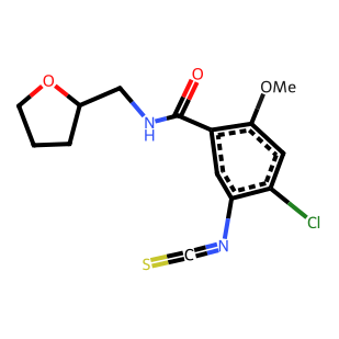 COc1cc(Cl)c(N=C=S)cc1C(=O)NCC1CCCO1